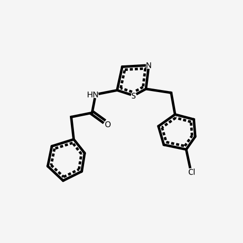 O=C(Cc1ccccc1)Nc1cnc(Cc2ccc(Cl)cc2)s1